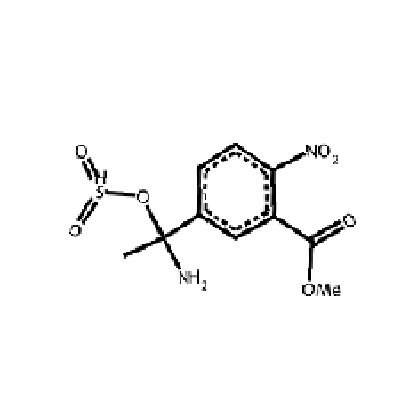 COC(=O)c1cc(C(C)(N)O[SH](=O)=O)ccc1[N+](=O)[O-]